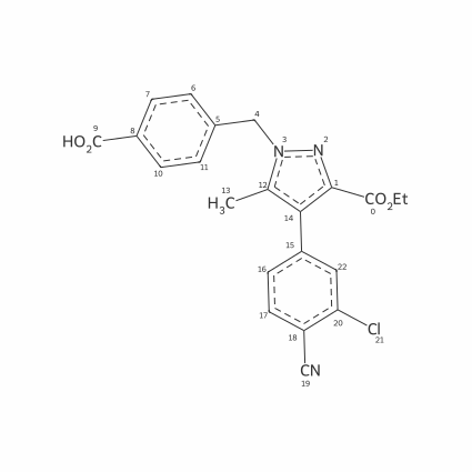 CCOC(=O)c1nn(Cc2ccc(C(=O)O)cc2)c(C)c1-c1ccc(C#N)c(Cl)c1